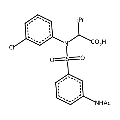 CC(=O)Nc1cccc(S(=O)(=O)N(c2cccc(Cl)c2)C(C(=O)O)C(C)C)c1